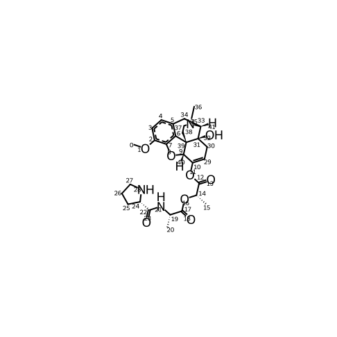 COc1ccc2c3c1O[C@H]1C(OC(=O)[C@H](C)OC(=O)[C@H](C)NC(=O)[C@@H]4CCCN4)=CC[C@@]4(O)[C@@H](C2)N(C)CC[C@]314